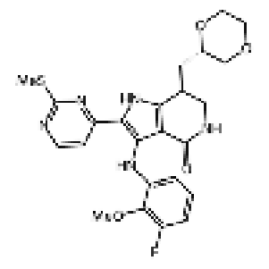 COc1c(F)cccc1Nc1c(-c2ccnc(SC)n2)[nH]c2c1C(=O)NCC2C[C@H]1COCCO1